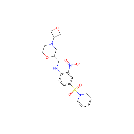 O=[N+]([O-])c1cc(S(=O)(=O)N2C=CC=CC2)ccc1NCC1CN(C2COC2)CCO1